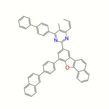 C/C=C\c1nc(-c2cc(-c3ccc(-c4ccc5ccccc5c4)cc3)c3oc4c5ccccc5ccc4c3c2)nc(-c2ccc(-c3ccccc3)cc2)c1C